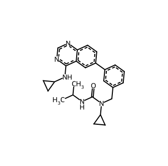 CC(C)NC(=O)N(Cc1cccc(-c2ccc3ncnc(NC4CC4)c3c2)c1)C1CC1